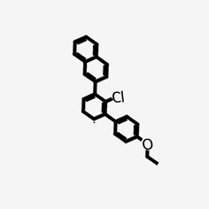 CCOc1ccc(C2=C(Cl)C(c3ccc4ccccc4c3)=CC[CH]2)cc1